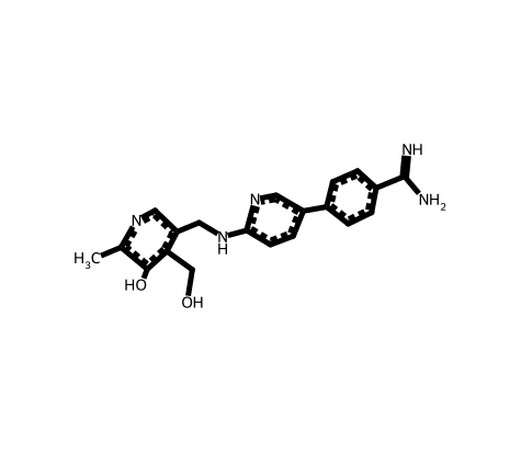 Cc1ncc(CNc2ccc(-c3ccc(C(=N)N)cc3)cn2)c(CO)c1O